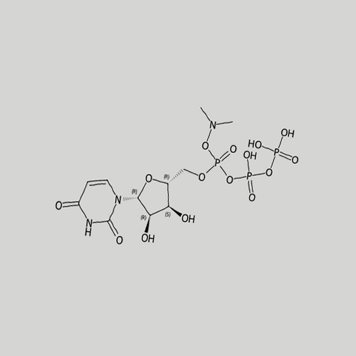 CN(C)OP(=O)(OC[C@H]1O[C@@H](n2ccc(=O)[nH]c2=O)[C@H](O)[C@@H]1O)OP(=O)(O)OP(=O)(O)O